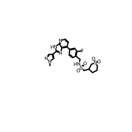 Cn1cc(-c2nc3c(-c4ccc(CNS(=O)(=O)CC5CCCS(=O)(=O)C5)c(F)c4)ccnc3[nH]2)cn1